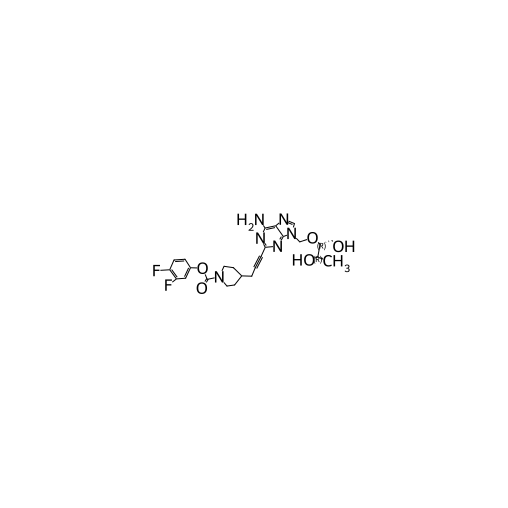 C[C@@H](O)[C@@H](CO)OCn1cnc2c(N)nc(C#CCC3CCN(C(=O)Oc4ccc(F)c(F)c4)CC3)nc21